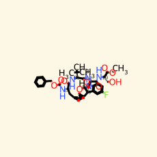 COC(=O)[C@H](CO)NC(=O)c1nc2oc1[C@@]13c4cc(F)ccc4N[C@@H]1Oc1ccc(cc13)C[C@H](NC(=O)OCc1ccccc1)C(=O)N[C@H]2C(C)(C)C